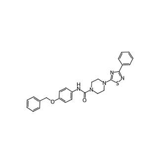 O=C(Nc1ccc(OCc2ccccc2)cc1)N1CCN(c2nc(-c3ccccc3)ns2)CC1